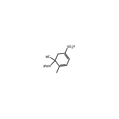 CCCC(C)C1(C#N)CC(S(=O)(=O)O)=CC=C1C